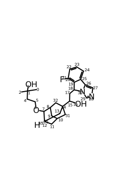 CC(C)(O)CCOC1C2CC3C[C@@H]1CC(C(O)CC1c4c(F)cccc4-c4cncn41)(C3)C2